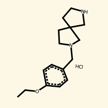 CCOc1ccc(CN2CCC3(CCNC3)C2)cc1.Cl